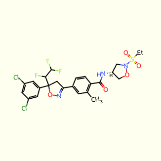 CCS(=O)(=O)N1C[C@@H](NC(=O)c2ccc(C3=NOC(c4cc(Cl)cc(Cl)c4)(C(F)C(F)F)C3)cc2C)CO1